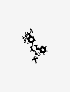 COC(=O)c1ccc(N2CCN(C(=O)OC(C)(C)C)C(c3ccccc3)C2)cc1S(C)(=O)=O